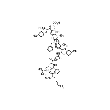 CC[C@H](C)[C@H](NC(=O)[C@H](Cc1ccccc1)NC(=O)[C@H](C)NC(=O)[C@H](Cc1ccc(O)cc1)NC(=O)CNC(=O)C(CCCNC(=N)N)NC(=O)[C@H]1CCCN1C(=O)[C@H](CCCCN)NC)C(=O)N[C@@H](CCC(=O)O)C(=O)N[C@@H](Cc1ccc(O)cc1)C(=O)O